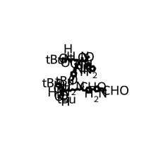 CC(C)(C)OC(=O)N=C(NCCCCCC[C@@](N)(C=O)Cc1ccc(-c2ccc(C[C@H](N)C=O)cc2)cc1)NC(=O)OC(C)(C)C.CC(C)(C)OC(=O)NCCCC[C@H](NC(=O)[C@@H](N)Cc1ccc(OC(C)(C)C)cc1)C(=O)N[C@@H](Cc1c[nH]c2ccccc12)C(N)=O